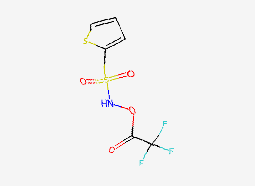 O=C(ONS(=O)(=O)c1cccs1)C(F)(F)F